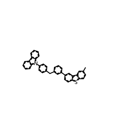 Cc1ccc2sc3ccc(-c4cccc(Cc5ccc(-n6c7ccccc7c7ccccc76)cc5)c4)cc3c2c1